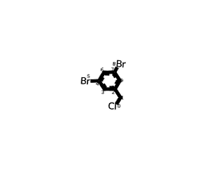 ClCc1cc(Br)cc(Br)c1